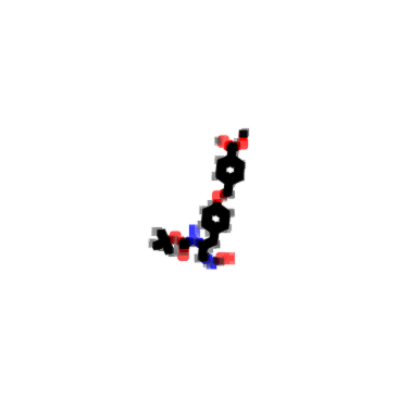 COC(=O)c1ccc(COc2ccc(CC(/C=N\O)NC(=O)OC(C)(C)C)cc2)cc1